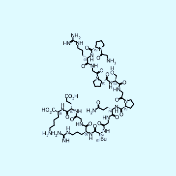 CC[C@H](C)[C@H](NC(=O)CNC(=O)[C@H](CCC(N)=O)NC(=O)[C@@H]1CCCN1C(=O)CNC(=O)[C@H](CO)NC(=O)[C@@H]1CCCN1C(=O)CNC(=O)[C@H](CCCNC(=N)N)NC(=O)[C@@H]1CCCN1C(=O)CN)C(=O)N[C@@H](CCCNC(=N)N)C(=O)NCC(=O)N[C@@H](CCC(=O)O)C(=O)N[C@@H](CCCCN)C(=O)O